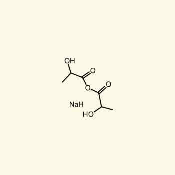 CC(O)C(=O)OC(=O)C(C)O.[NaH]